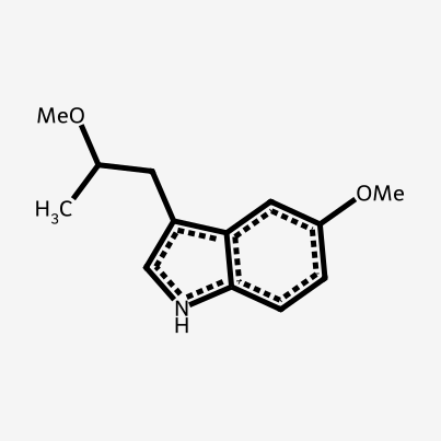 COc1ccc2[nH]cc(CC(C)OC)c2c1